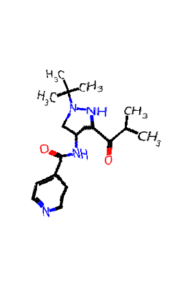 CC(C)C(=O)C1NN(C(C)(C)C)CC1NC(=O)C1=CC=NCC1